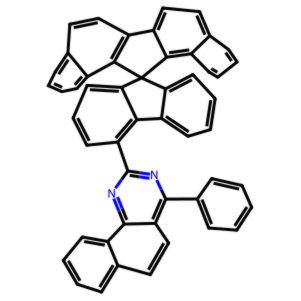 c1ccc(-c2nc(-c3cccc4c3-c3ccccc3C43c4c(ccc5ccccc45)-c4ccc5ccccc5c43)nc3c2ccc2ccccc23)cc1